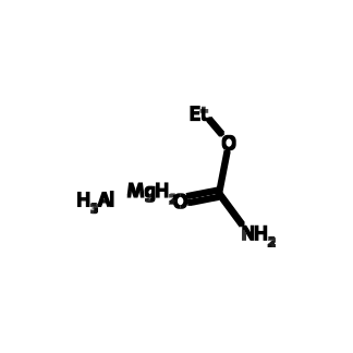 CCOC(N)=O.[AlH3].[MgH2]